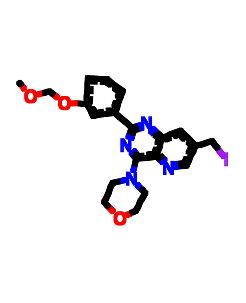 COCOc1cccc(-c2nc(N3CCOCC3)c3ncc(CI)cc3n2)c1